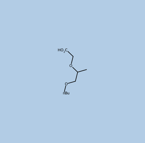 CCCCOCC(C)OCC(=O)O